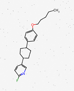 CCCCCOc1ccc(C2CCC(c3ccc(F)nc3)CC2)cc1